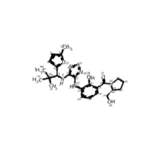 Cc1ccc(C(Nc2nsnc2Nc2cccc(C(=O)N3CCC[C@H]3CO)c2O)C(C)(C)C)o1